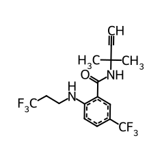 C#CC(C)(C)NC(=O)c1cc(C(F)(F)F)ccc1NCCC(F)(F)F